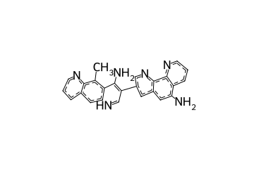 Cc1c(/C(N)=C(\C=N)c2cnc3c(c2)cc(N)c2cccnc23)ccc2cccnc12